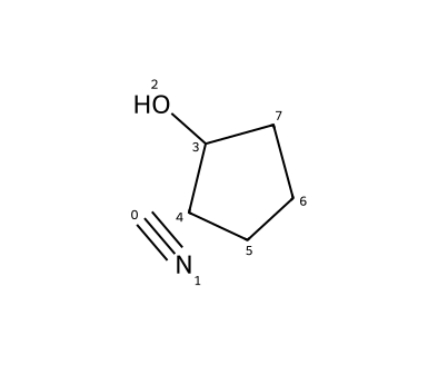 C#N.OC1CCCC1